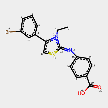 CCn1c(-c2cccc(Br)c2)csc1=Nc1ccc(C(=O)O)cc1